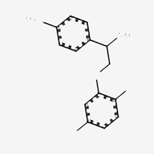 CNC(COc1cc(F)ccc1Br)c1ccc(OC)cc1